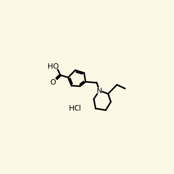 CCC1CCCCN1Cc1ccc(C(=O)O)cc1.Cl